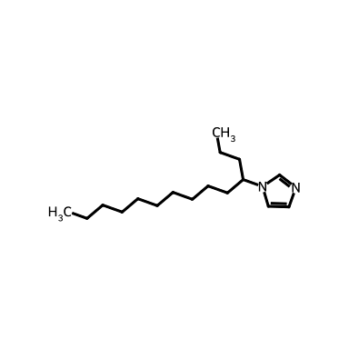 CCCCCCCCCCC(CCC)n1ccnc1